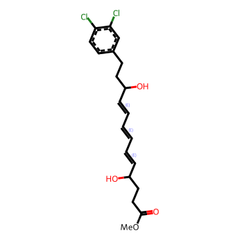 COC(=O)CCC(O)/C=C/C=C/C=C/C(O)CCc1ccc(Cl)c(Cl)c1